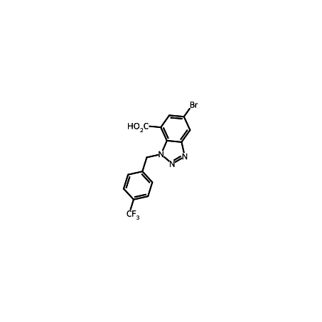 O=C(O)c1cc(Br)cc2nnn(Cc3ccc(C(F)(F)F)cc3)c12